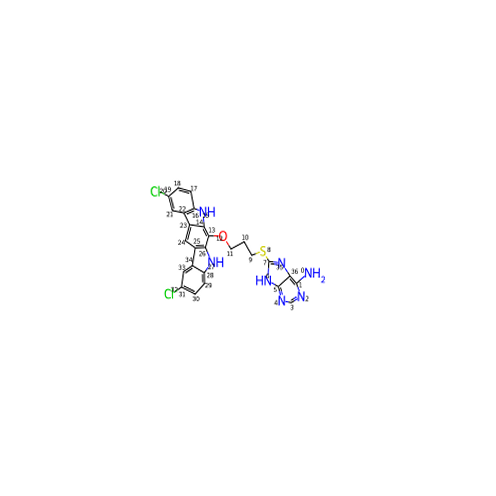 Nc1ncnc2[nH]c(SCCCOc3c4[nH]c5ccc(Cl)cc5c4cc4c3[nH]c3ccc(Cl)cc34)nc12